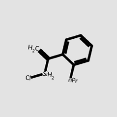 C=C([SiH2]Cl)c1ccccc1CCC